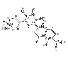 CC(Nc1ncnc2c1cc(C1=CCS(=N)(=O)CC1)c(=O)n2C)c1cccc(C(F)F)c1F